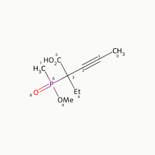 CC#CC(CC)(C(=O)O)P(C)(=O)OC